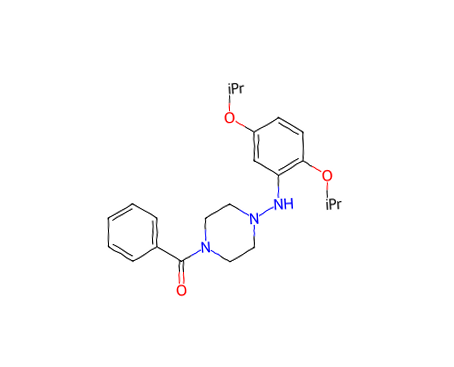 CC(C)Oc1ccc(OC(C)C)c(NN2CCN(C(=O)c3ccccc3)CC2)c1